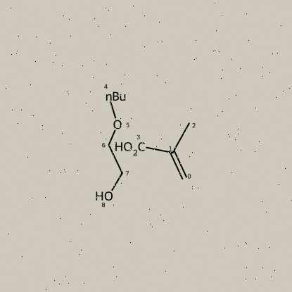 C=C(C)C(=O)O.CCCCOCCO